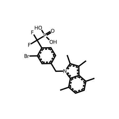 Cc1ccc(C)c2c1c(C)c(C)n2Cc1ccc(C(F)(F)P(=O)(O)O)c(Br)c1